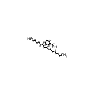 CCCCCCCCCCCCCCCCO.OCc1ccccc1